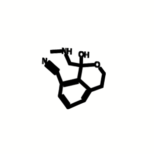 CNCC1(O)OCCc2cccc(C#N)c21